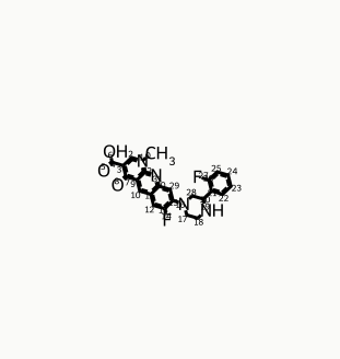 Cn1cc(C(=O)O)c(=O)c2cc3cc(F)c(N4CCNC(c5ccccc5F)C4)cc3nc21